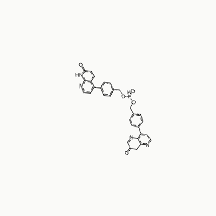 O=C1C=Nc2c(-c3ccc(CO[PH](=O)OCc4ccc(-c5ccnc6[nH]c(=O)ccc56)cc4)cc3)ccnc2C1